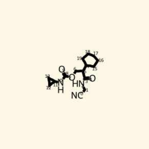 N#CCNC(=O)C(COC(=O)NC1CC1)C1CCCCC1